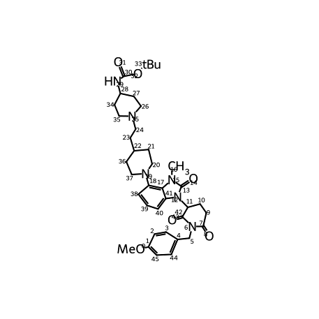 COc1ccc(CN2C(=O)CCC(n3c(=O)n(C)c4c(N5CCC(CCN6CCC(NC(=O)OC(C)(C)C)CC6)CC5)cccc43)C2=O)cc1